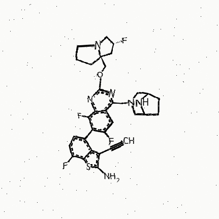 C#Cc1c(N)sc2c(F)ccc(-c3c(F)cc4c(N5CC6CCC(C5)N6)nc(OC[C@@]56CCCN5C[C@H](F)C6)nc4c3F)c12